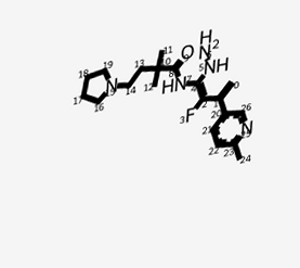 C=C(/C(F)=C(\NN)NC(=O)C(C)(C)CCN1CCCC1)c1ccc(C)nc1